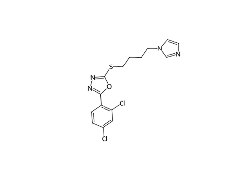 Clc1ccc(-c2nnc(SCCCCn3ccnc3)o2)c(Cl)c1